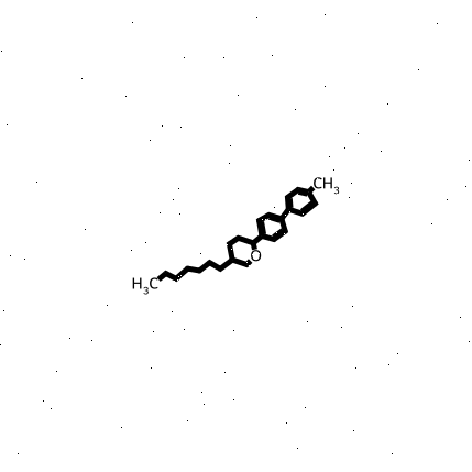 CCCCCCCC1CCC(c2ccc(-c3ccc(C)cc3)cc2)OC1